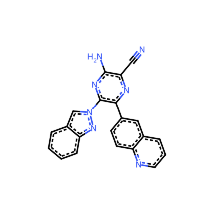 N#Cc1nc(-c2ccc3ncccc3c2)c(-n2cc3ccccc3n2)nc1N